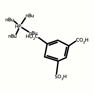 CCCC[PH](CCCC)(CCCC)CCCC.O=C(O)c1cc(C(=O)O)cc(S(=O)(=O)O)c1